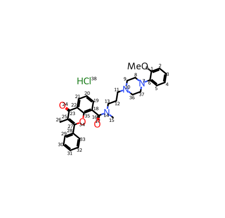 COc1ccccc1N1CCN(CCCN(C)C(=O)c2cccc3c(=O)c(C)c(-c4ccccc4)oc23)CC1.Cl